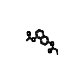 CCC(=O)Oc1ccc2c(OC(C)=O)cccc2c1